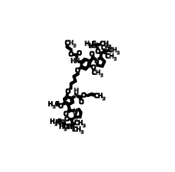 C=CCOC(=O)Nc1cc(C(=O)N2CCCC2C(O[SiH](C)C)C(C)(C)C)c(OC)cc1OCCCCCOc1cc(OC)c(C(=O)N2CCC[C@H]2C(O[SiH](C)C)C(C)(C)C)cc1NC(=O)OCC=C